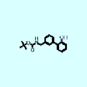 CC(C)(C)OC(=O)NCc1cccc(-c2ccccc2O)c1